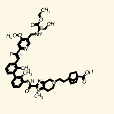 CCOC(=O)[C@@H](CO)NCc1cnc(/C(F)=C/c2cccc(-c3cccc(NC(=O)c4nc5c(n4C)CCN(CCC46CCC(C(=O)O)(CC4)C6)C5)c3C)c2C)cc1OC